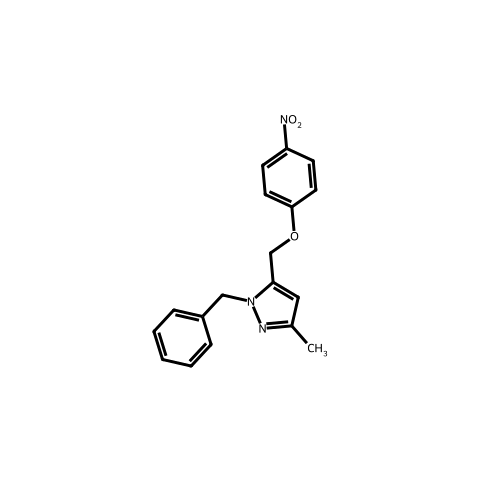 Cc1cc(COc2ccc([N+](=O)[O-])cc2)n(Cc2ccccc2)n1